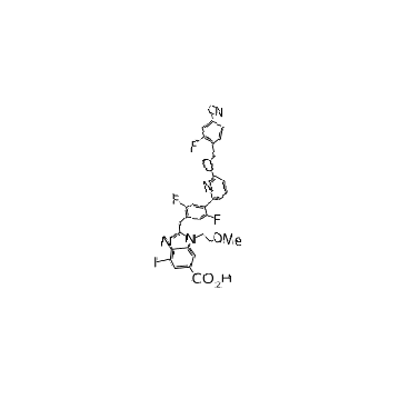 COCCn1c(Cc2cc(F)c(-c3cccc(OCc4ccc(C#N)cc4F)n3)cc2F)nc2c(I)cc(C(=O)O)cc21